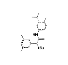 C=C(C)c1cc(NC(=C)C(c2cc(C)cc(C)c2)C(C)(C)C)ccc1C